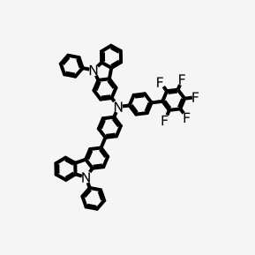 Fc1c(F)c(F)c(-c2ccc(N(c3ccc(-c4ccc5c(c4)c4ccccc4n5-c4ccccc4)cc3)c3ccc4c(c3)c3ccccc3n4-c3ccccc3)cc2)c(F)c1F